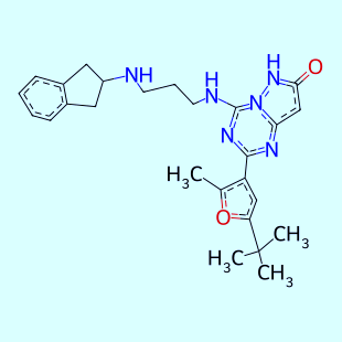 Cc1oc(C(C)(C)C)cc1-c1nc(NCCCNC2Cc3ccccc3C2)n2[nH]c(=O)cc2n1